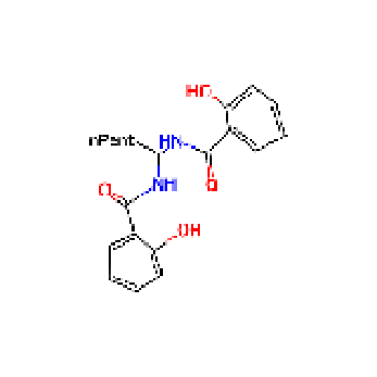 CCCCCC(NC(=O)c1ccccc1O)NC(=O)c1ccccc1O